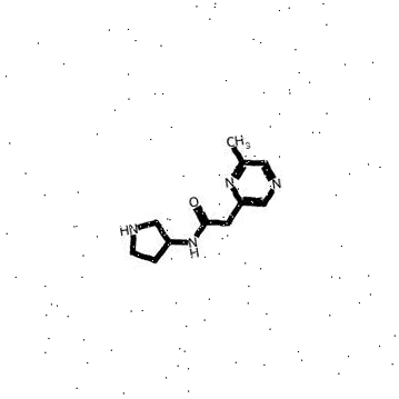 Cc1cncc(CC(=O)NC2CCNC2)n1